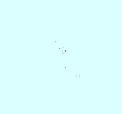 C[C@@H](Nc1nc(N2CC([C@H]3CCCN(CCO)C3)C2)ncc1Cl)c1ccc(Cl)cc1Cl